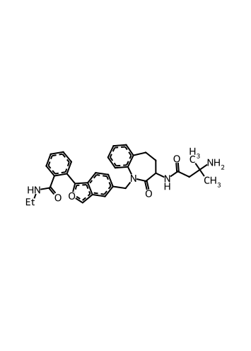 CCNC(=O)c1ccccc1-c1occ2cc(CN3C(=O)C(NC(=O)CC(C)(C)N)CCc4ccccc43)ccc12